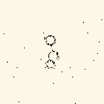 O=CC(Cc1cscn1)c1cccnc1